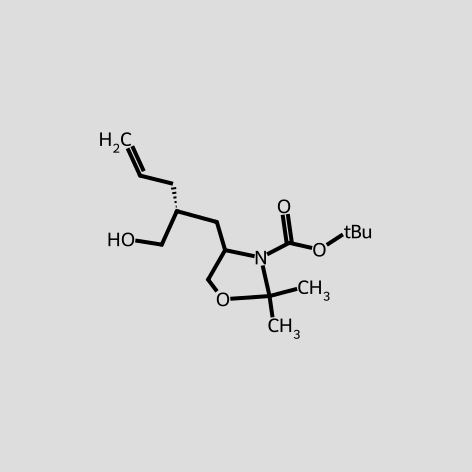 C=CC[C@@H](CO)CC1COC(C)(C)N1C(=O)OC(C)(C)C